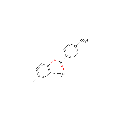 Cc1ccc(OC(=O)c2ccc(C(=O)O)cc2)c(C(=O)O)c1